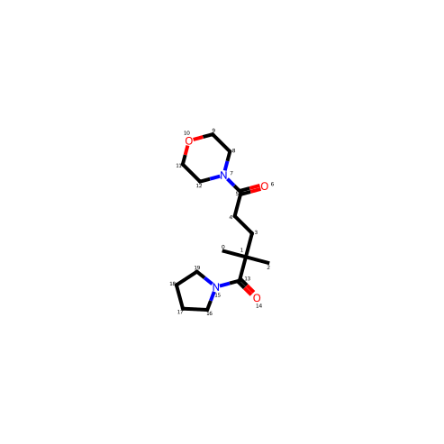 CC(C)(CCC(=O)N1CCOCC1)C(=O)N1CCCC1